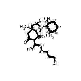 CCCC(=NOCC=CCl)[C@H]1C(=O)C[C@](C)(CC(C)[S+]([O-])c2c(C)cccc2C)CC1=O